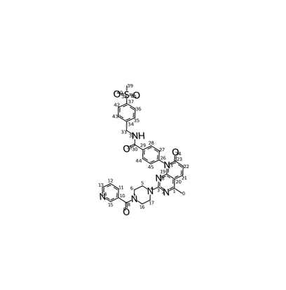 Cc1nc(N2CCN(C(=O)c3cccnc3)CC2)nc2c1ccc(=O)n2-c1ccc(C(=O)NCc2ccc(S(C)(=O)=O)cc2)cc1